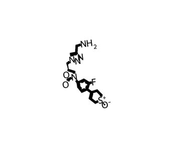 NCc1cn(C[C@H]2CN(c3ccc(C4=CC[S@+]([O-])CC4)c(F)c3)C(=O)O2)nn1